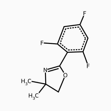 CC1(C)COC(c2c(F)cc(F)cc2F)=N1